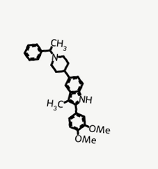 COc1ccc(-c2[nH]c3ccc(C4CCN(C(C)c5ccccc5)CC4)cc3c2C)cc1OC